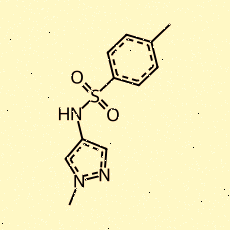 Cc1ccc(S(=O)(=O)Nc2cnn(C)c2)cc1